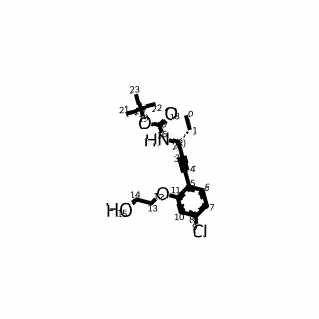 CC[C@H](C#Cc1ccc(Cl)cc1OCCO)NC(=O)OC(C)(C)C